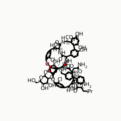 CC(C)C[C@H](N)C(=O)N[C@H]1C(=O)N[C@@H](CC(N)=O)C(=O)N[C@H]2C(=O)N[C@H]3C(=O)N[C@H](C(=O)N[C@H](C(=O)O)c4cc(O)cc(O)c4-c4cc3ccc4O)[C@H](O)c3ccc(c(Cl)c3)Oc3cc2cc(c3OC2O[C@H](CO)[C@@H](O)[C@H](O)C2O[C@H]2C[C@](C)(NCc3ccc(-c4ccccc4)cc3)[C@H](O)[C@H](C)O2)Oc2ccc(cc2Cl)[C@H]1O